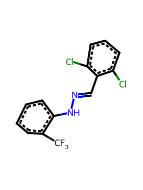 FC(F)(F)c1ccccc1N/N=C/c1c(Cl)cccc1Cl